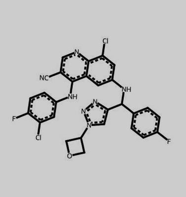 N#Cc1cnc2c(Cl)cc(NC(c3ccc(F)cc3)c3cn(C4COC4)nn3)cc2c1Nc1ccc(F)c(Cl)c1